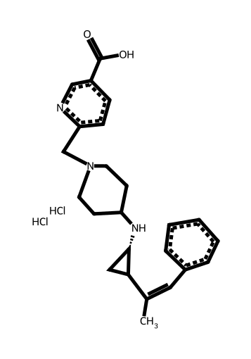 CC(=Cc1ccccc1)C1C[C@@H]1NC1CCN(Cc2ccc(C(=O)O)cn2)CC1.Cl.Cl